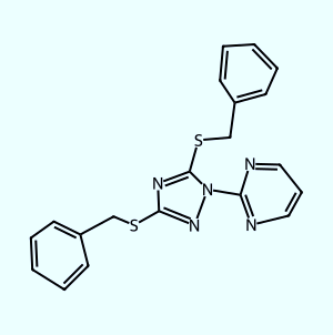 c1ccc(CSc2nc(SCc3ccccc3)n(-c3ncccn3)n2)cc1